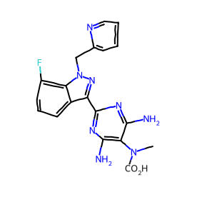 CN(C(=O)O)c1c(N)nc(-c2nn(Cc3ccccn3)c3c(F)cccc23)nc1N